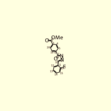 COC(=O)c1ccc(-c2nnc(-c3ccccc3F)o2)cc1